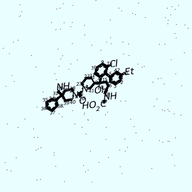 CCc1cccc(-c2c(Cl)cccc2[C@](O)(CCCNC(=O)O)[C@@H]2CCCN(C(=O)N3CCC(CN)(c4ccccc4)CC3)C2)c1